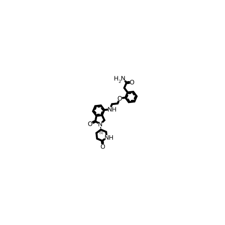 NC(=O)Cc1ccccc1OCCNc1cccc2c1CN([C@H]1CCC(=O)NC1)C2=O